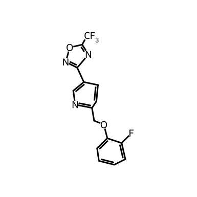 Fc1ccccc1OCc1ccc(-c2noc(C(F)(F)F)n2)cn1